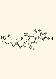 Nc1nc(N)n(-c2cc(Cl)c(-c3ccc(OC4CCNCC4)cc3)c(C(F)(F)F)c2)n1